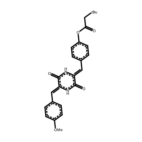 COc1ccc(C=c2[nH]c(=O)c(=Cc3ccc(OC(=O)CC(C)(C)C)cc3)[nH]c2=O)cc1